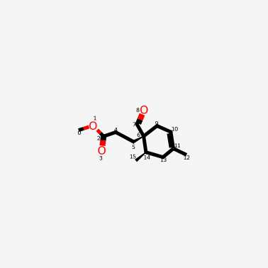 COC(=O)CC[C@@]1(C=O)CC=C(C)C[C@H]1C